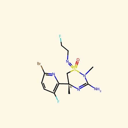 CN1C(N)=N[C@](C)(c2nc(Br)ccc2F)CS1(=O)=NCCF